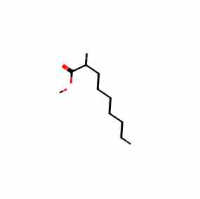 CCOC(=O)CCCCCCC(C(C)=O)C(=O)OC(C)(C)C